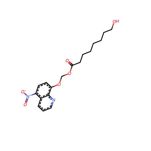 O=C(CCCCCCCO)OCOc1ccc([N+](=O)[O-])c2cccnc12